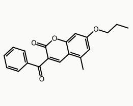 CCCOc1cc(C)c2cc(C(=O)c3ccccc3)c(=O)oc2c1